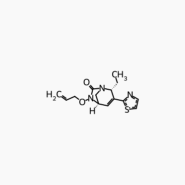 C=CCON1C(=O)N2C[C@H]1C=C(c1nccs1)[C@H]2CC